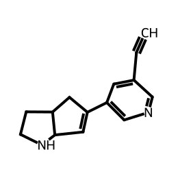 C#Cc1cncc(C2=CC3NCCC3C2)c1